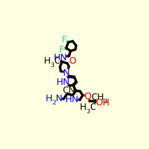 CC(C)(O)COC1CNC(C(C#N)CN)C(C2=CC=C(N3CCC(C)(NC(=O)C4CCCC(F)C4F)CC3)NC2)C1